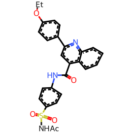 CCOc1ccc(-c2cc(C(=O)Nc3ccc(S(=O)(=O)NC(C)=O)cc3)c3ccccc3n2)cc1